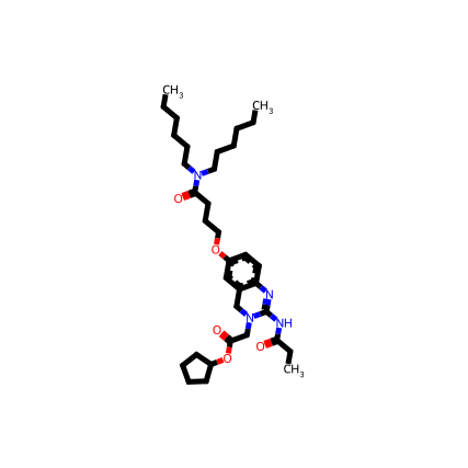 CCCCCCN(CCCCCC)C(=O)CCCOc1ccc2c(c1)CN(CC(=O)OC1CCCC1)C(NC(=O)CC)=N2